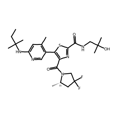 CCC(C)(C)Nc1cc(C)c(-c2sc(C(=O)NCC(C)(C)O)nc2C(=O)N2CC(F)(F)C[C@@H]2C)cn1